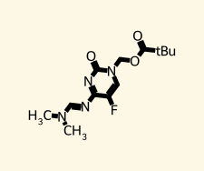 CN(C)C=Nc1nc(=O)n(COC(=O)C(C)(C)C)cc1F